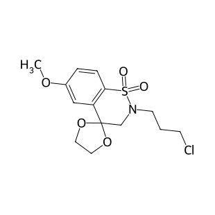 COc1ccc2c(c1)C1(CN(CCCCl)S2(=O)=O)OCCO1